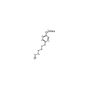 CCCCCCOc1ccc(CCCCCC[O])cc1